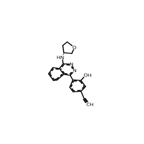 C#Cc1ccc(-c2nnc(N[C@@H]3CCOC3)c3ccccc23)c(O)c1